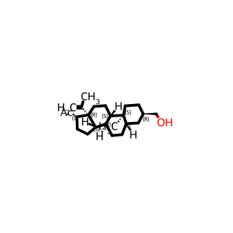 C=C(C)[C@]12CC[C@H]3[C@@H](CC[C@H]4C[C@H](CO)CC[C@@]43C)[C@@H]1CC[C@@H]2C(C)=O